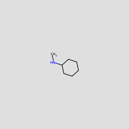 CN[C]1CCCCC1